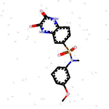 COc1cccc(N(C)S(=O)(=O)c2ccc3[nH]c(=O)c(=O)[nH]c3c2)c1